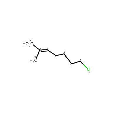 CC(=CCCCCCl)C(=O)O